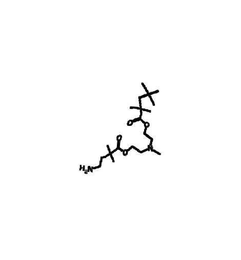 CN(CCOC(=O)C(C)(C)CCN)CCOC(=O)C(C)(C)CC(C)(C)C